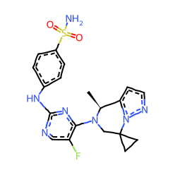 C[C@H]1c2ccnn2C2(CC2)CN1c1nc(Nc2ccc(S(N)(=O)=O)cc2)ncc1F